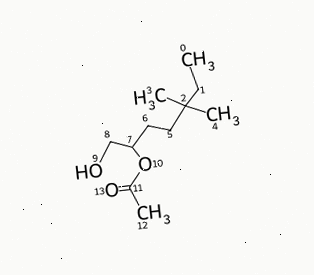 CCC(C)(C)CCC(CO)OC(C)=O